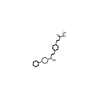 O=C(/C=C/c1ccc(/C=C/C(O)N2CCN(c3ccccc3)CC2)cc1)NO